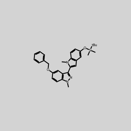 Cn1nc(-c2cc3cc(O[Si](C)(C)C(C)(C)C)ccc3n2C)c2cc(OCc3ccccc3)ccc21